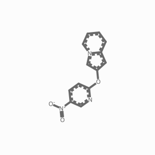 O=[N+]([O-])c1ccc(Oc2cc3ccccn3c2)nc1